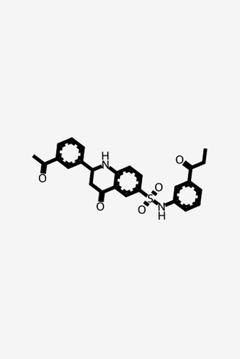 CCC(=O)c1cccc(NS(=O)(=O)c2ccc3c(c2)C(=O)CC(c2cccc(C(C)=O)c2)N3)c1